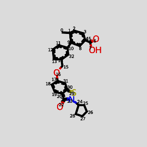 Cc1ccc(C(=O)O)cc1-c1cccc(COc2ccc3c(=O)n(C4CCCC4)sc3c2)c1